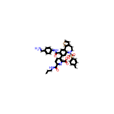 CCCNC(=O)c1ccc(-c2cc3c(cc2C(=O)Nc2ccc(CN)cc2)-c2sccc2CCN3S(=O)(=O)c2ccc(C)cc2)c(C(=O)O)n1